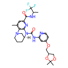 Cc1cc(C(=O)NC(C)C(F)(F)F)nc2c1N1CCC[C@@H](C1)N2C(=O)Nc1cc(OCC2COC(C)(C)O2)ccn1